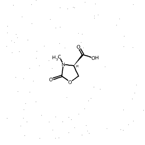 CN1C(=O)OC[C@@H]1C(=O)O